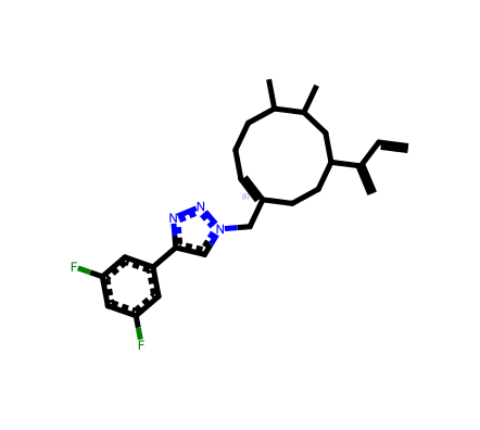 C=CC(=C)C1CC/C(Cn2cc(-c3cc(F)cc(F)c3)nn2)=C\CCC(C)C(C)C1